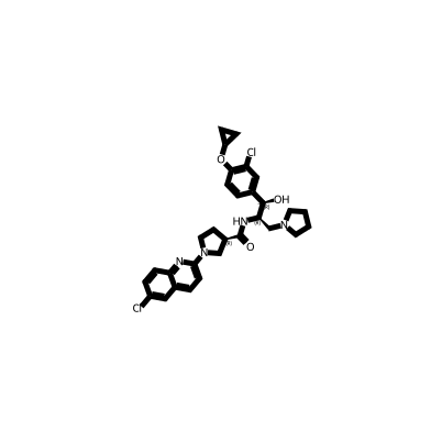 O=C(N[C@H](CN1CCCC1)[C@H](O)c1ccc(OC2CC2)c(Cl)c1)[C@@H]1CCN(c2ccc3cc(Cl)ccc3n2)C1